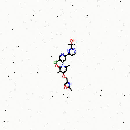 Cc1nc(COc2cc(C)n(-c3cc(-c4ccnc(C(C)(C)O)n4)ncc3Cl)c(=O)c2C)co1